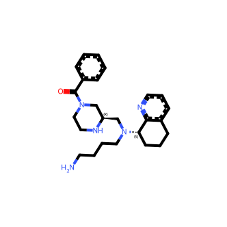 NCCCCN(C[C@@H]1CN(C(=O)c2ccccc2)CCN1)[C@H]1CCCc2cccnc21